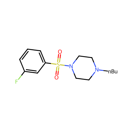 CCCCN1CCN(S(=O)(=O)c2cccc(F)c2)CC1